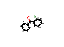 O=C(c1ccccc1)c1[c]cccc1F